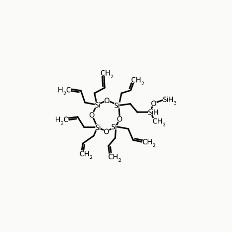 C=CC[Si]1(CC=C)O[Si](CC=C)(CC=C)O[Si](CC=C)(CC[SiH](C)O[SiH3])O[Si](CC=C)(CC=C)O1